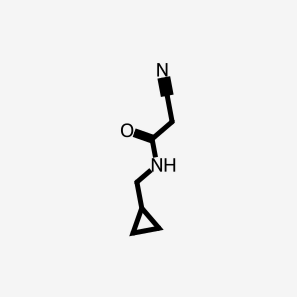 N#CCC(=O)NCC1CC1